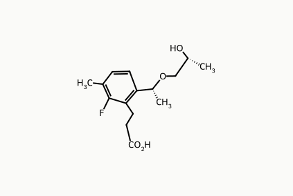 Cc1ccc([C@@H](C)OC[C@@H](C)O)c(CCC(=O)O)c1F